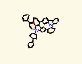 c1ccc(-c2ccc(N(c3ccc(-c4ccccc4)cc3)c3ccccc3-c3ccccc3-c3ccc4c5ccccc5n(-c5ccccc5)c4c3)cc2)cc1